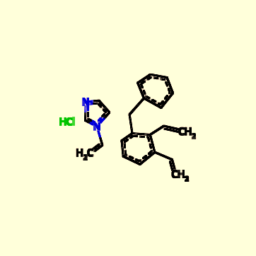 C=Cc1cccc(Cc2ccccc2)c1C=C.C=Cn1ccnc1.Cl